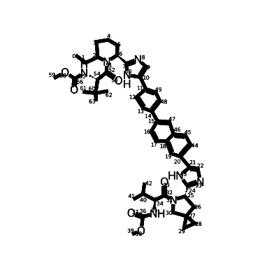 CCC1CCC[C@@H](c2ncc(-c3ccc(-c4ccc5cc(-c6cnc([C@@H]7CC8(CC8)CN7C(=O)[C@@H](NC(=O)OC)C(C)C)[nH]6)ccc5c4)cc3)[nH]2)N1C(=O)[C@@H](NC(=O)OC)C(C)(C)C